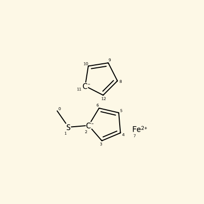 CS[c-]1cccc1.[Fe+2].c1cc[cH-]c1